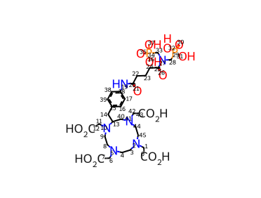 O=C(O)CN1CCN(CC(=O)O)CCN(CC(=O)O)C(Cc2ccc(NC(=O)CCCC(=O)N(CP(=O)(O)O)CP(=O)(O)O)cc2)CN(CC(=O)O)CC1